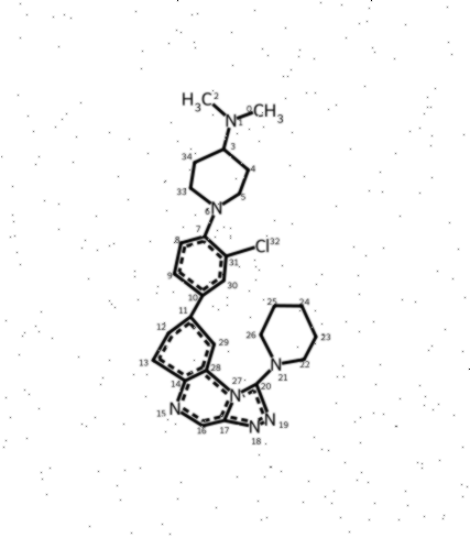 CN(C)C1CCN(c2ccc(-c3ccc4ncc5nnc(N6CCCCC6)n5c4c3)cc2Cl)CC1